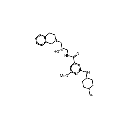 COc1cc(C(=O)NC[C@H](O)CN2CCc3ccccc3C2)cc(NC2CCN(C(C)=O)CC2)n1